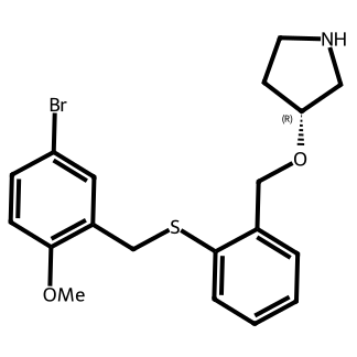 COc1ccc(Br)cc1CSc1ccccc1CO[C@@H]1CCNC1